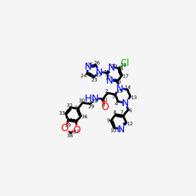 O=C(CC1CN(Cc2cccnc2)CCN1c1cc(Cl)nc(-n2ccnc2)n1)NCCc1ccc2c(c1)OCO2